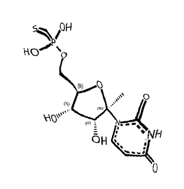 C[C@@]1(n2ccc(=O)[nH]c2=O)O[C@H](COP(O)(O)=S)[C@@H](O)[C@H]1O